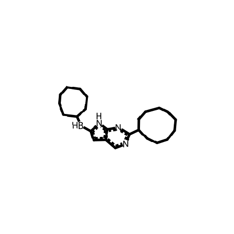 B(c1cc2cnc(C3CCCCCCCCC3)nc2[nH]1)C1CCCCCCC1